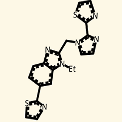 CCn1c(Cn2ccnc2-c2nccs2)nc2ccc(-c3nccs3)cc21